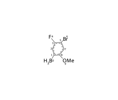 Bc1cc(F)c(Br)cc1OC